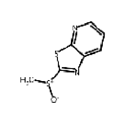 C[S+]([O-])c1nc2cccnc2s1